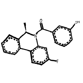 C[C@@H]1c2ccccc2-c2ccc(F)cc2N1C(=O)c1cccc(O)c1